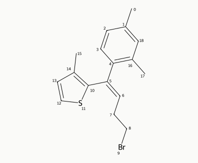 Cc1ccc(C(=CCCBr)c2sccc2C)c(C)c1